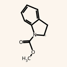 COC(=O)N1[C]Cc2ccccc21